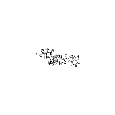 CCCC(C(=O)C(=O)N[C@H](Cc1ccccc1)C(=O)O)N1CC(F)(F)[C@H]2CN(C(=O)[C@@H](NC(=O)OC(C)C)C(C)C)[C@H](C1=O)[C@H]2C